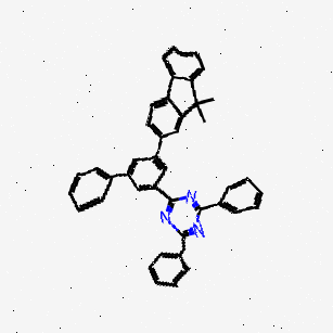 CC1(C)c2ccccc2-c2ccc(-c3cc(-c4ccccc4)cc(-c4nc(-c5ccccc5)nc(-c5ccccc5)n4)c3)cc21